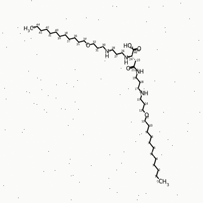 CCCCCCCCCCCCOCCCNCCCNC(=O)C[C@H](NCCCNCCCOCCCCCCCCCCCC)C(=O)O